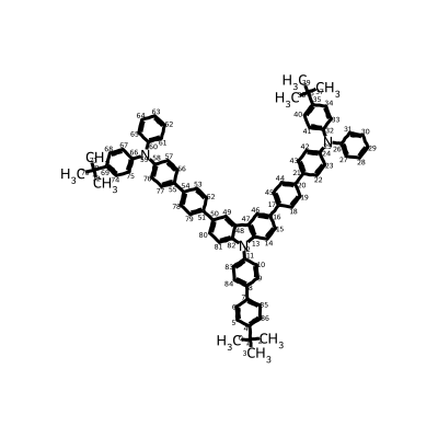 CC(C)(C)c1ccc(-c2ccc(-n3c4ccc(-c5ccc(-c6ccc(N(c7ccccc7)c7ccc(C(C)(C)C)cc7)cc6)cc5)cc4c4cc(-c5ccc(-c6ccc(N(c7ccccc7)c7ccc(C(C)(C)C)cc7)cc6)cc5)ccc43)cc2)cc1